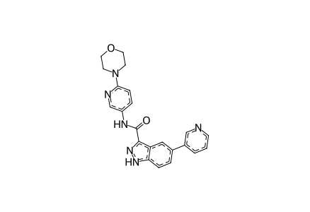 O=C(Nc1ccc(N2CCOCC2)nc1)c1n[nH]c2ccc(-c3cccnc3)cc12